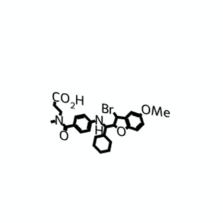 COc1ccc2c(c1)C(Br)C(C(Nc1ccc(C(=O)N(C)CCC(=O)O)cc1)C1CCCCC1)O2